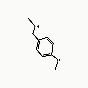 CNCc1[c]cc(OC)cc1